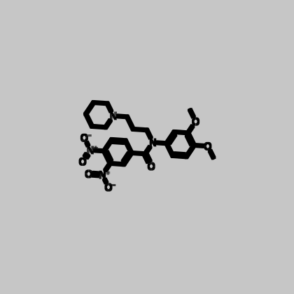 COc1ccc(N(CCCN2CCCCC2)C(=O)c2ccc([N+](=O)[O-])c([N+](=O)[O-])c2)cc1OC